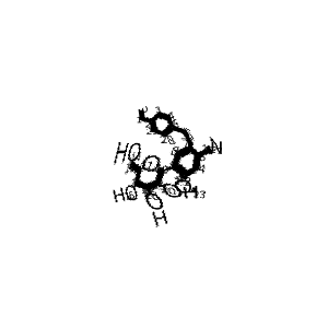 CCc1ccc(Cc2cc([C@@H]3OC(CO)[C@@H](O)[C@H](O)[C@H]3O)c(OC)cc2C#N)cc1